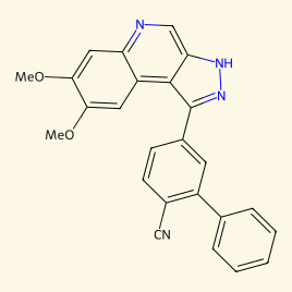 COc1cc2ncc3[nH]nc(-c4ccc(C#N)c(-c5ccccc5)c4)c3c2cc1OC